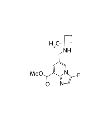 COC(=O)c1cc(CNC2(C)CCC2)cn2c(F)cnc12